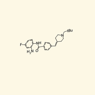 CC(C)(C)CN1CCC(=Cc2ccc(C(=O)Nc3ccc(F)cc3N)cc2)CC1